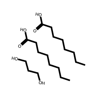 CCCCCCCC(=O)O.CCCCCCCC(=O)O.OCCCO